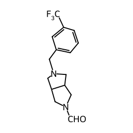 O=CN1CC2CN(Cc3cccc(C(F)(F)F)c3)CC2C1